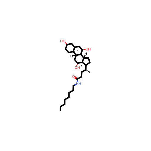 CCCCCCCCNC(=O)CC[C@H](C)C1CC[C@H]2C3[C@H](O)CC4C[C@H](O)CC[C@]4(C)[C@H]3C[C@H](O)[C@]12C